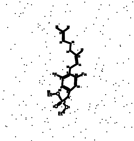 CCOP(=O)(Cc1cc(F)c(CC=C(C)CCC=C(C)C)c(F)c1)OCC